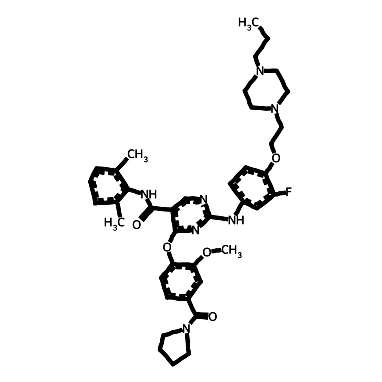 CCCN1CCN(CCOc2ccc(Nc3ncc(C(=O)Nc4c(C)cccc4C)c(Oc4ccc(C(=O)N5CCCC5)cc4OC)n3)cc2F)CC1